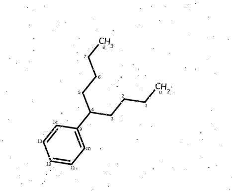 [CH2]CCCC(CCCC)c1ccccc1